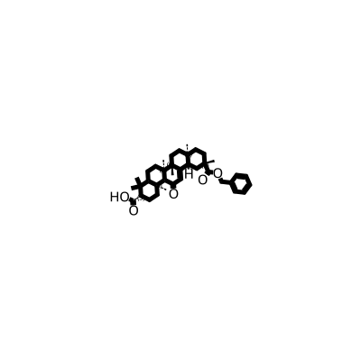 CC1(C)C2CC[C@]3(C)C(C(=O)C=C4[C@@H]5C[C@@](C)(C(=O)OCc6ccccc6)CC[C@]5(C)CC[C@]43C)[C@@]2(C)CC[C@@H]1C(=O)O